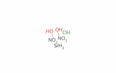 Cl.O=[N+]([O-])O.O=[N+]([O-])O.[SrH2]